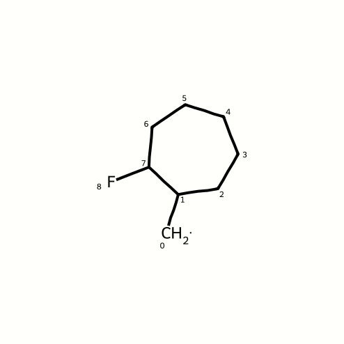 [CH2]C1CCCCCC1F